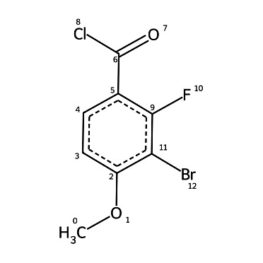 COc1ccc(C(=O)Cl)c(F)c1Br